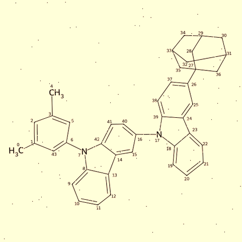 Cc1cc(C)cc(-n2c3ccccc3c3cc(-n4c5ccccc5c5cc(C67CC8CC(CC(C8)C6)C7)ccc54)ccc32)c1